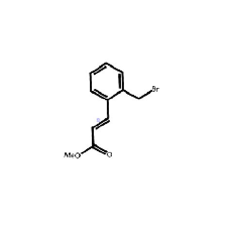 COC(=O)/C=C/c1ccccc1CBr